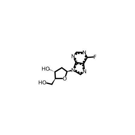 OC[C@@H]1O[C@H](n2cnc3c(F)ncnc32)C[C@H]1O